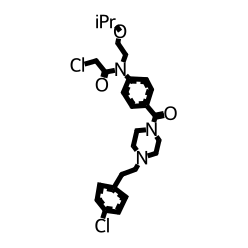 CC(C)OCCN(C(=O)CCl)c1ccc(C(=O)N2CCN(CCc3ccc(Cl)cc3)CC2)cc1